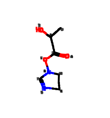 CC(O)C(=O)ON1C=NCC1